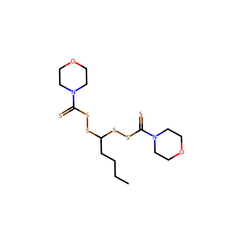 CCCCC(SSC(=S)N1CCOCC1)SSC(=S)N1CCOCC1